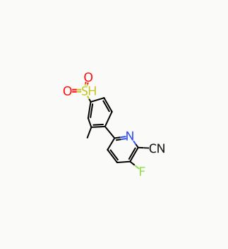 Cc1cc([SH](=O)=O)ccc1-c1ccc(F)c(C#N)n1